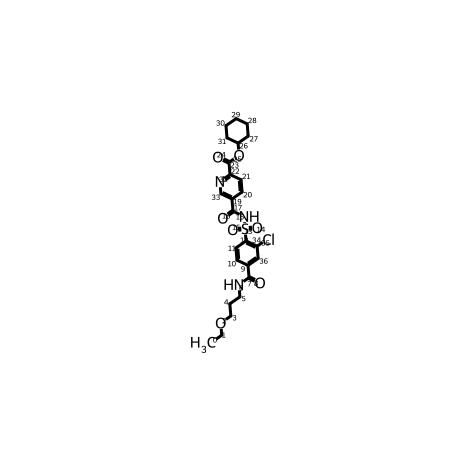 CCOCCCNC(=O)c1ccc(S(=O)(=O)NC(=O)c2ccc(C(=O)OC3CCCCC3)nc2)c(Cl)c1